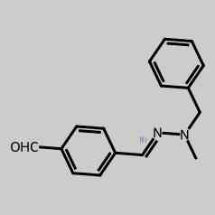 CN(Cc1ccccc1)/N=C/c1ccc(C=O)cc1